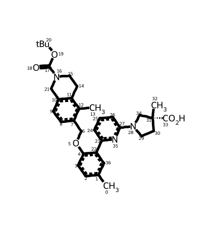 Cc1ccc(OCc2ccc3c(c2C)CCN(C(=O)OC(C)(C)C)C3)c(-c2cccc(N3CC[C@@](C)(C(=O)O)C3)n2)c1